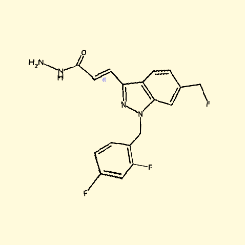 NNC(=O)/C=C/c1nn(Cc2ccc(F)cc2F)c2cc(CF)ccc12